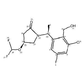 C[C@@H](c1cc(F)cc(Cl)c1CO)N1C[C@@H](OC(F)F)CC1=O